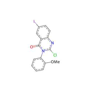 COc1ccccc1-n1c(Cl)nc2ccc(I)cc2c1=O